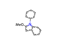 COc1cc2ccccc2n1-c1ccccc1